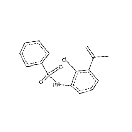 C=C(C)c1cccc(NS(=O)(=O)c2ccccc2)c1Cl